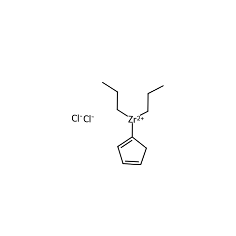 CC[CH2][Zr+2]([CH2]CC)[C]1=CC=CC1.[Cl-].[Cl-]